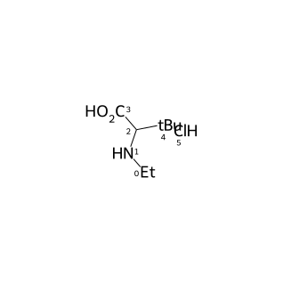 CCNC(C(=O)O)C(C)(C)C.Cl